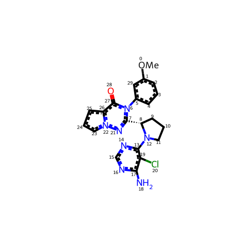 COc1cccc(-n2c([C@@H]3CCCN3c3ncnc(N)c3Cl)nn3cccc3c2=O)c1